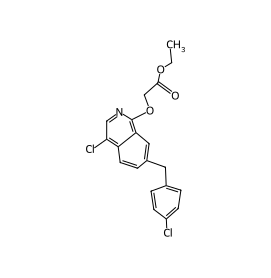 CCOC(=O)COc1ncc(Cl)c2ccc(Cc3ccc(Cl)cc3)cc12